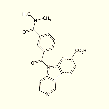 CN(C)C(=O)c1cccc(C(=O)n2c3ccncc3c3ccc(C(=O)O)cc32)c1